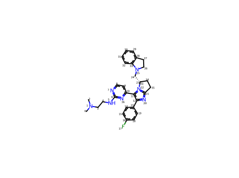 CN(C)CCNc1nccc(-c2c(-c3ccc(F)cc3)nc3n2[C@H](CN2CCc4ccccc42)CC3)n1